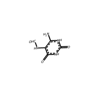 Nc1[nH]c(=O)[nH]c(=O)c1NC=O